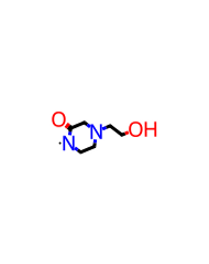 O=C1CN(CCO)CC[N]1